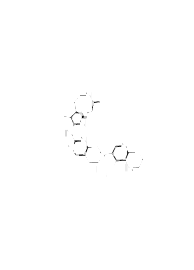 Cc1c(N2CCc3cnc(Nc4nn5c(c4C(C)C)CCNC(=O)C5)nc3C2)cnc2c1NCCO2